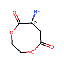 N[C@H]1CC(=O)OCCOC1=O